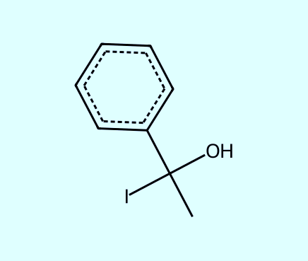 CC(O)(I)c1ccccc1